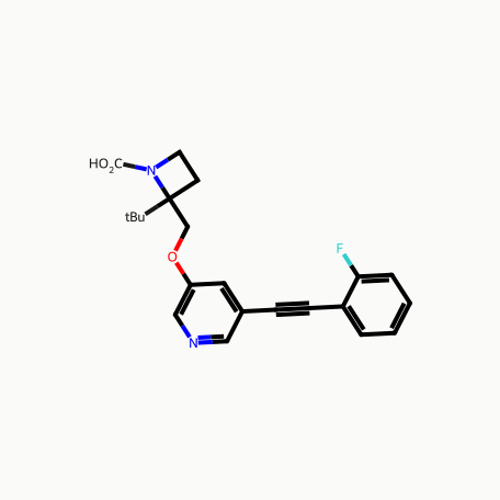 CC(C)(C)C1(COc2cncc(C#Cc3ccccc3F)c2)CCN1C(=O)O